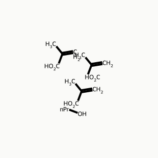 C=C(C)C(=O)O.C=C(C)C(=O)O.C=C(C)C(=O)O.CCCO